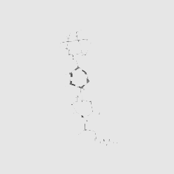 COCC(C)N1CCN(c2ccc(B3OC(C)(C)C(C)(C)O3)cc2)CC1